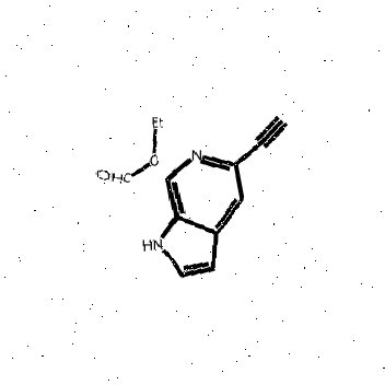 C#Cc1cc2cc[nH]c2cn1.CCOC=O